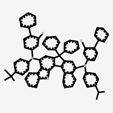 CC(C)c1ccc(N(c2ccc(-c3ccccc3)c(F)c2)c2cc3c(c4ccccc24)-c2c(cc(N(c4ccc(C(C)(C)C)cc4)c4ccc(-c5ccccc5)c(F)c4)c4c2oc2ccccc24)C3(c2ccccc2)c2ccccc2)cc1